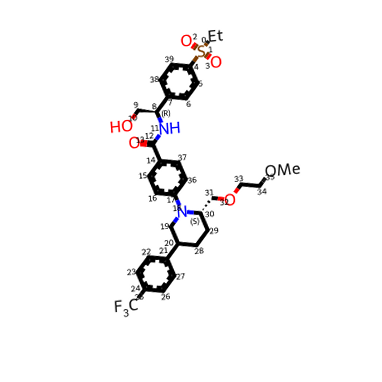 CCS(=O)(=O)c1ccc([C@H](CO)NC(=O)c2ccc(N3CC(c4ccc(C(F)(F)F)cc4)CC[C@H]3COCCOC)cc2)cc1